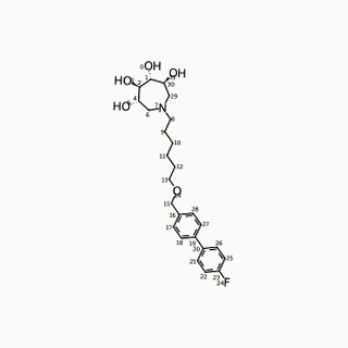 O[C@H]1[C@H](O)[C@@H](O)CN(CCCCCCOCc2ccc(-c3ccc(F)cc3)cc2)C[C@@H]1O